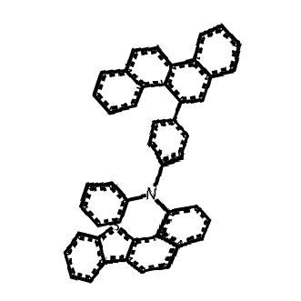 c1ccc(N(c2ccc(-c3cc4ccccc4c4ccc5ccccc5c34)cc2)c2cccc3ccc4c5ccccc5sc4c23)cc1